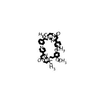 CC1CCn2c(nc(-c3ccncc3)cc2=O)N1CC(=O)c1ccccc1.COc1ccc(OC)c(CCN2c3nc(-c4ccncc4)cc(=O)n3CCC2C)c1